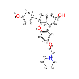 COc1ccc(C2=C(Oc3ccc(OCCN4CCCCC4)cc3)c3ccc(O)cc3C2)cc1